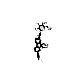 CC#Cc1ccc2c(c1)C(CO)(CO)c1cc(C#C[C@H]3O[C@H](CO)[C@@H](O)[C@H](O)[C@@H]3O)ccc1-2